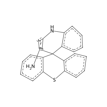 Nc1cccc2c1C1(c3ccccc3N2)c2ccccc2Sc2ccccc21